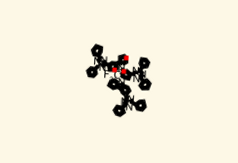 FC(F)(F)c1c(-n2c3ccccc3c3cc(-c4nc(-c5ccccc5)nc(-c5ccccc5)n4)ccc32)cc(-c2nc(-c3ccccc3)nc(-c3ccccc3)n2)cc1-n1c2ccccc2c2cc(-c3nc(-c4ccccc4)nc(-c4ccccc4)n3)ccc21